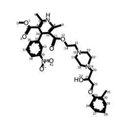 COC(=O)C1=C(C)NC(C)=C(C(=O)OCCN2CCN(CC(O)COc3ccccc3C)CC2)C1c1cccc([N+](=O)[O-])c1